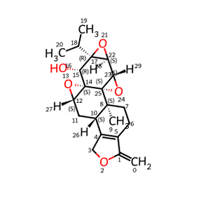 C=C1OCC2=C1CC[C@@]1(C)[C@H]2C[C@@H]2O[C@@]23[C@H](O)[C@@]2(C(C)C)O[C@H]2[C@@H]2O[C@@]231